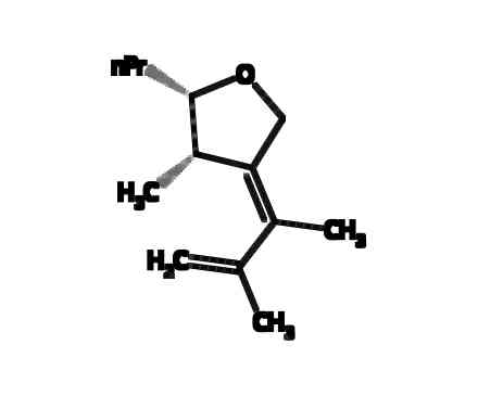 C=C(C)/C(C)=C1/CO[C@@H](CCC)[C@H]1C